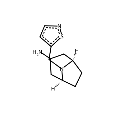 NC1C[C@H]2CC[C@@H](C1)N2Cc1ccns1